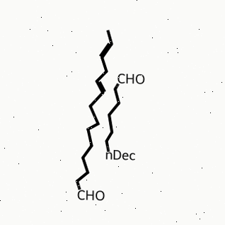 CC=CCC=CCCCCCCCC=O.CCCCCCCCCCCCCCCC=O